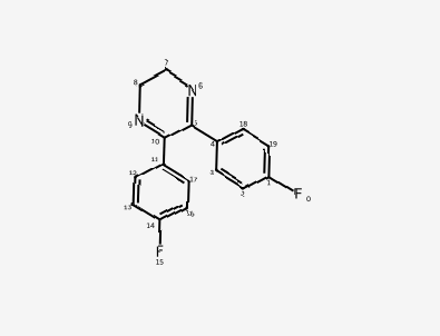 Fc1ccc(C2=NCCN=C2c2ccc(F)cc2)cc1